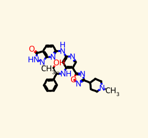 CN1CCC(c2noc(-c3cnc(Nc4ccc5c(=O)[nH]n(C)c5n4)cc3N[C@H](CO)c3ccccc3)n2)CC1